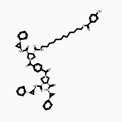 O=C(OCCCCCCCCCCCCNC(=O)[C@@H]1CN(C(=O)c2ccc(C(=O)N3C[C@@H](C(=O)N[C@H]4C[C@@H]4c4ccccc4)[C@H](C(=O)N[C@H]4C[C@@H]4c4ccccc4)C3)cc2)C[C@H]1C(=O)N[C@H]1C[C@@H]1c1ccccc1)c1ccc(O)cc1